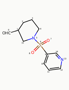 O=CC1CCCN(S(=O)(=O)c2cccnc2)C1